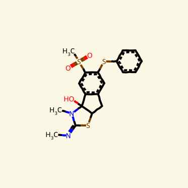 CN=C1SC2Cc3cc(Sc4ccccc4)c(S(C)(=O)=O)cc3C2(O)N1C